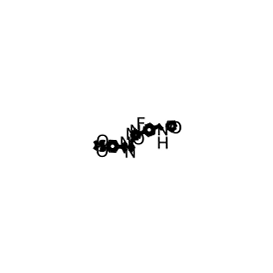 CC(C)S(=O)(=O)c1ccc(-c2cncc(-c3nnc(-c4ccc(CNC5CCOC5)cc4F)o3)n2)cc1